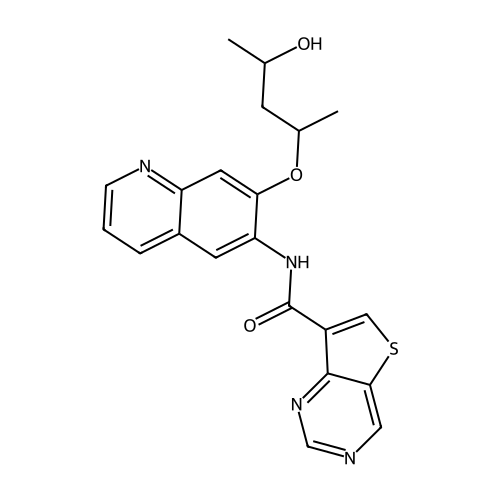 CC(O)CC(C)Oc1cc2ncccc2cc1NC(=O)c1csc2cncnc12